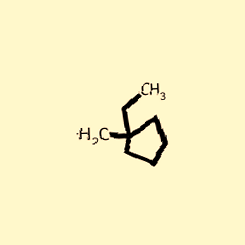 [CH2]C1(CC)CCCC1